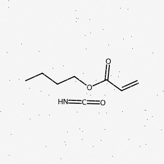 C=CC(=O)OCCCC.N=C=O